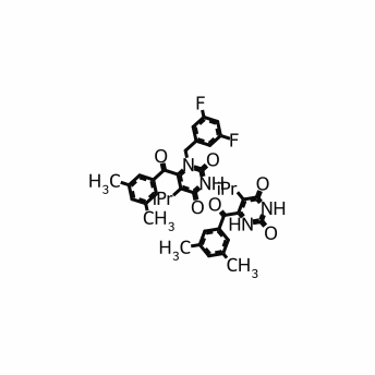 Cc1cc(C)cc(C(=O)c2[nH]c(=O)[nH]c(=O)c2C(C)C)c1.Cc1cc(C)cc(C(=O)c2c(C(C)C)c(=O)[nH]c(=O)n2Cc2cc(F)cc(F)c2)c1